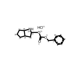 Cl.O=C(OCc1ccccc1)OC1CC2CCCC2N1